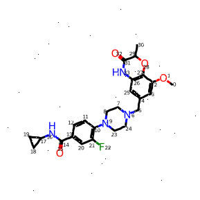 COc1cc(CN2CCN(c3ccc(C(=O)NC4CC4)cc3F)CC2)cc2c1OC(C)C(=O)N2